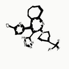 FC(F)(F)C1CCN(c2nc3c(c(-c4ccc(Cl)s4)c2-c2nnn[nH]2)CCCCC3)CC1